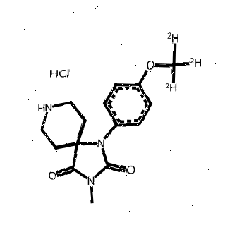 Cl.[2H]C([2H])([2H])Oc1ccc(N2C(=O)N(C)C(=O)C23CCNCC3)cc1